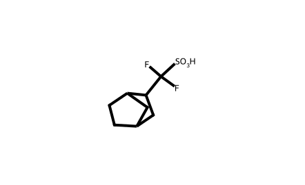 O=S(=O)(O)C(F)(F)C1CC2CCC1C2